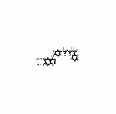 COc1cc2nccc(Oc3ccc(NC(=O)CC(=O)NC(C)c4ccccc4)cc3)c2cc1OC